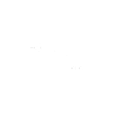 O=C[C@H]1C[C@H]1C(=O)O